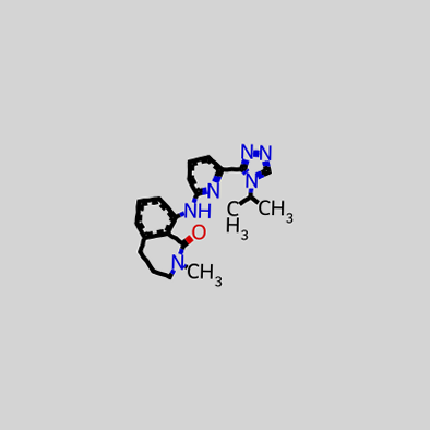 CC(C)n1cnnc1-c1cccc(Nc2cccc3c2C(=O)N(C)CCC3)n1